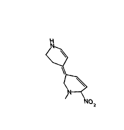 CN1CC(=C2C=CNCC2)C=CC1[N+](=O)[O-]